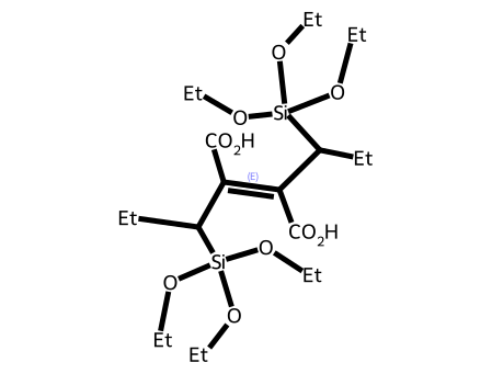 CCO[Si](OCC)(OCC)C(CC)/C(C(=O)O)=C(\C(=O)O)C(CC)[Si](OCC)(OCC)OCC